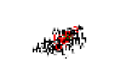 CCc1c(C)c(C(=O)O)c(C)c(C)c1OC(=O)c1c(C)cc(OC(=O)c2c(C)c(C)c(OC(=O)c3c(C)cc(OCc4ccccc4)cc3OC)c(Cl)c2O)c(C)c1C